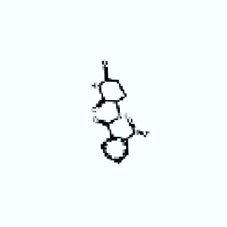 O=C1CCC(NC(=O)c2ccccc2[N+](=O)[O-])C(=O)N1